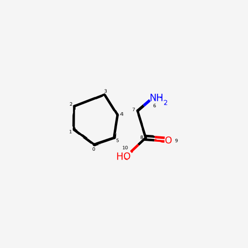 C1CCCCC1.NCC(=O)O